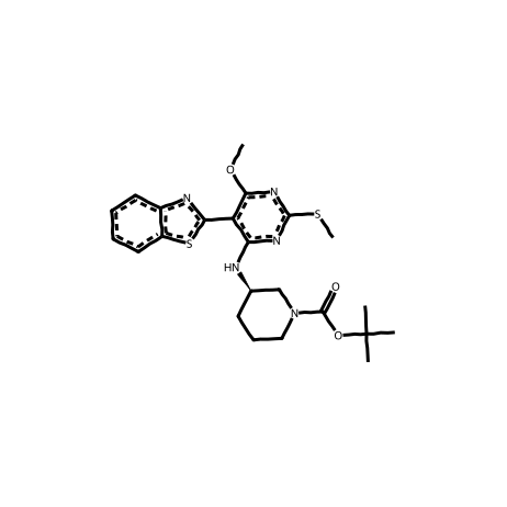 COc1nc(SC)nc(N[C@@H]2CCCN(C(=O)OC(C)(C)C)C2)c1-c1nc2ccccc2s1